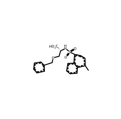 Cc1ccc(S(=O)(=O)N[C@H](COCc2ccccc2)C(=O)O)c2ccccc12